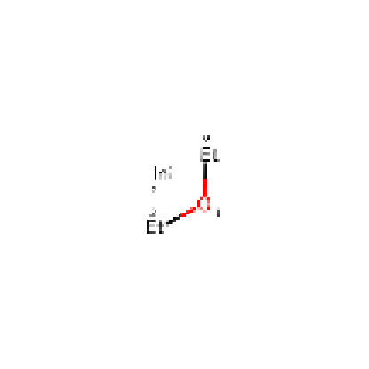 CCOCC.[In]